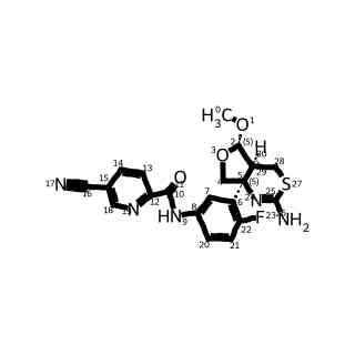 CO[C@H]1OC[C@]2(c3cc(NC(=O)c4ccc(C#N)cn4)ccc3F)N=C(N)SC[C@H]12